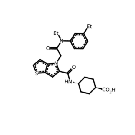 CCc1cccc(N(CC)C(=O)Cn2c(C(=O)N[C@H]3CC[C@H](C(=O)O)CC3)cc3sccc32)c1